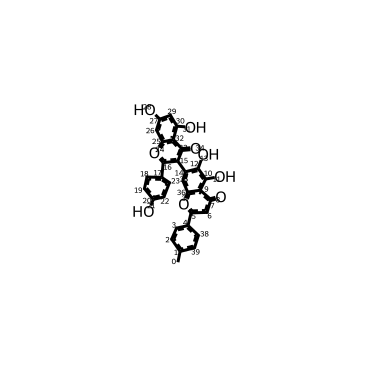 Cc1ccc(-c2cc(=O)c3c(O)c(O)c(-c4c(-c5ccc(O)cc5)oc5cc(O)cc(O)c5c4=O)cc3o2)cc1